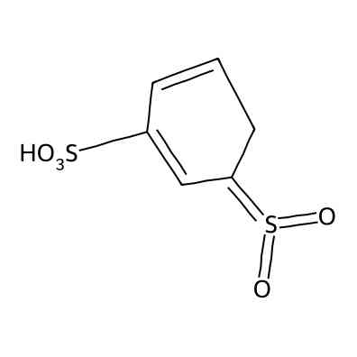 O=S(=O)=C1C=C(S(=O)(=O)O)C=CC1